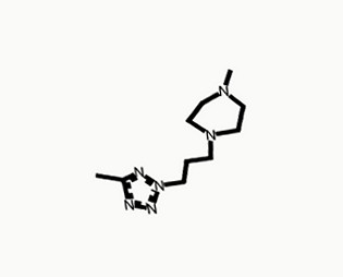 Cc1nnn(CCCN2CCN(C)CC2)n1